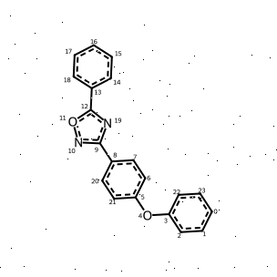 c1ccc(Oc2ccc(-c3noc(-c4ccccc4)n3)cc2)cc1